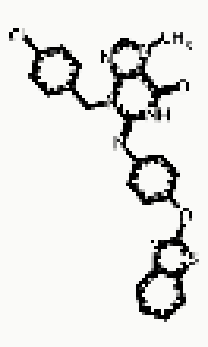 Cn1cnc2c1c(=O)[nH]/c(=N\c1ccc(Oc3nc4ccccc4s3)cc1)n2Cc1ccc(Cl)cc1